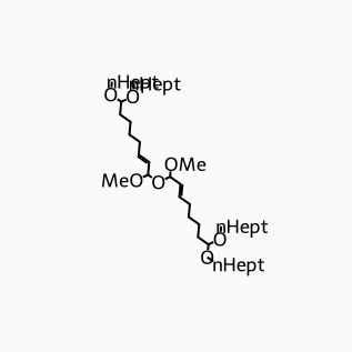 CCCCCCCOC(CCCCC=CC(OC)OC(C=CCCCCC(OCCCCCCC)OCCCCCCC)OC)OCCCCCCC